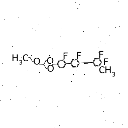 CCCOCC1COC(c2ccc(-c3ccc(C#Cc4cc(C)c(F)c(F)c4)c(F)c3)c(F)c2)OC1